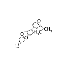 CC(C)Cn1cc(-c2ccc3c(c2)COC2(CCN(C4CCC4)CC2)O3)ccc1=O